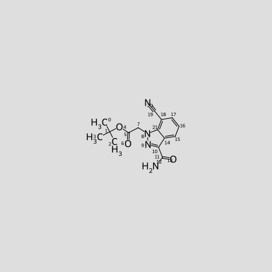 CC(C)(C)OC(=O)Cn1nc(C(N)=O)c2cccc(C#N)c21